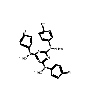 CCCCCCN(c1ccc(CC)cc1)c1nc(N(CCCCCC)c2ccc(CC)cc2)nc(N(CCCCCC)c2ccc(CC)cc2)n1